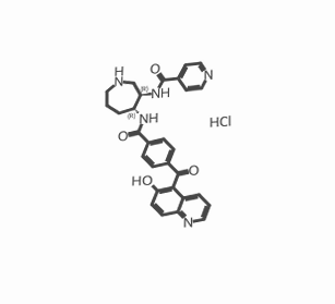 Cl.O=C(N[C@@H]1CCCNC[C@H]1NC(=O)c1ccncc1)c1ccc(C(=O)c2c(O)ccc3ncccc23)cc1